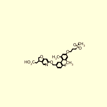 Cc1cc(OCCCS(C)(=O)=O)cc(C)c1-c1cc(COc2cc3c(cn2)C(CC(=O)O)CO3)ccc1F